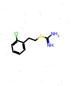 N=C(N)SCCc1ccccc1Cl